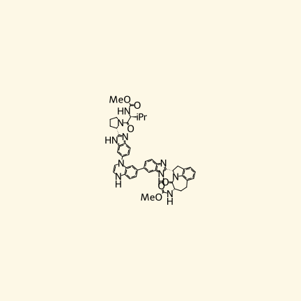 COC(=O)N[C@H]1CCc2cccc3c2N(C1=O)[C@H](c1nc2ccc(-c4ccc5c(c4)N(c4ccc6nc([C@@H]7CCCN7C(=O)[C@@H](NC(=O)OC)C(C)C)[nH]c6c4)C=CN5)cc2[nH]1)C3